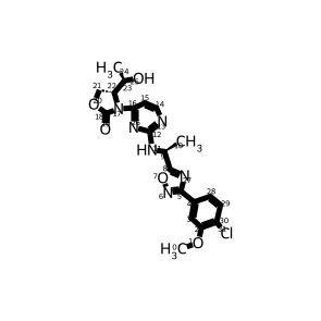 COc1cc(-c2noc([C@H](C)Nc3nccc(N4C(=O)OC[C@@H]4[C@@H](C)O)n3)n2)ccc1Cl